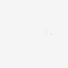 CCCCCCCCC=CCCCCCCCC(=O)NCN(C)CCC